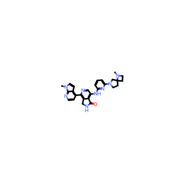 CN1CCC12CCN(c1cccc(Nc3cnc(-c4ccnc5c4ccn5C)c4c3C(=O)NC4)n1)C2